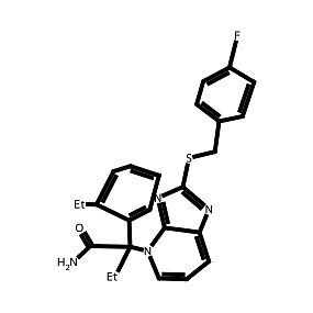 CCc1ccccc1C(CC)(C(N)=O)n1cccc2nc(SCc3ccc(F)cc3)nc1-2